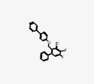 Fc1cc(-c2ccccc2)c(COc2ccc(-c3ccccc3)cc2)c(F)c1F